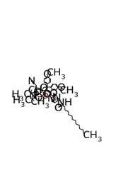 CCCCCCCCCCCCCC(=O)Nc1ccn(C2CC(OP(OCCC#N)N(C(C)C)C(C)C)C(COC(c3ccccc3)(c3ccc(OC)cc3)c3ccc(OC)cc3)O2)c(=O)n1